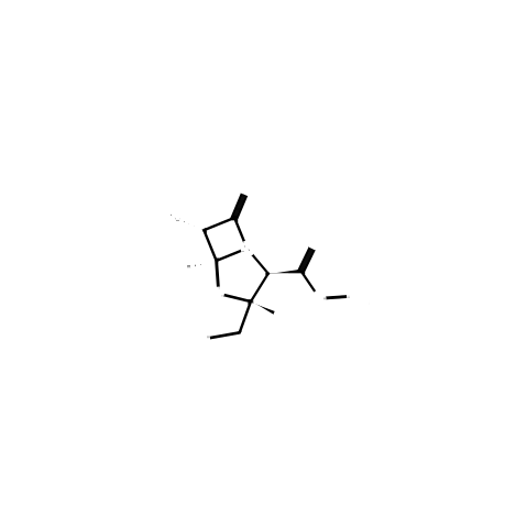 COC(=O)[C@@H]1N2C(=O)[C@@H](N)[C@@H]2S[C@@]1(C)CCl